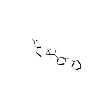 CC1(C)[C@H](/C=C\C(=O)OC(C(F)(F)F)C(F)(F)F)[C@@]1(C(=O)O)C(C#N)c1cccc(Oc2ccccc2)c1